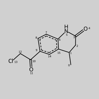 CC1CC(=O)Nc2ccc(C(=O)CCl)cc21